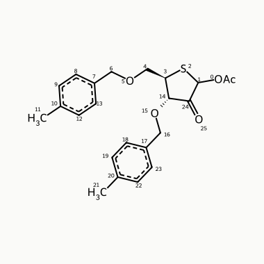 CC(=O)OC1S[C@H](COCc2ccc(C)cc2)[C@@H](OCc2ccc(C)cc2)C1=O